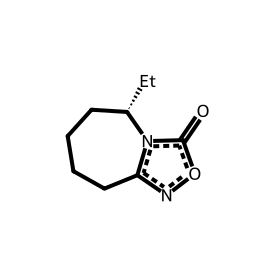 [CH2]C[C@H]1CCCCc2noc(=O)n21